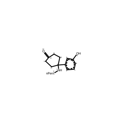 CCCCCNC1(c2cccc(O)c2)CCC(=O)CC1